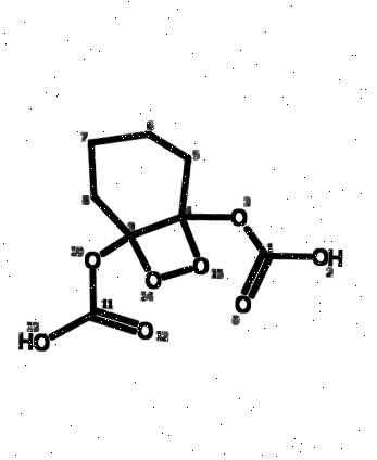 O=C(O)OC12CCCCC1(OC(=O)O)OO2